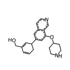 OCC1=CC(c2cc(OC3CCNCC3)c3cnccc3c2)CC=C1